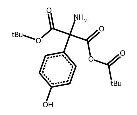 CC(C)(C)OC(=O)C(N)(C(=O)OC(=O)C(C)(C)C)c1ccc(O)cc1